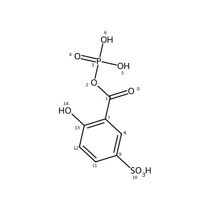 O=C(OP(=O)(O)O)c1cc(S(=O)(=O)O)ccc1O